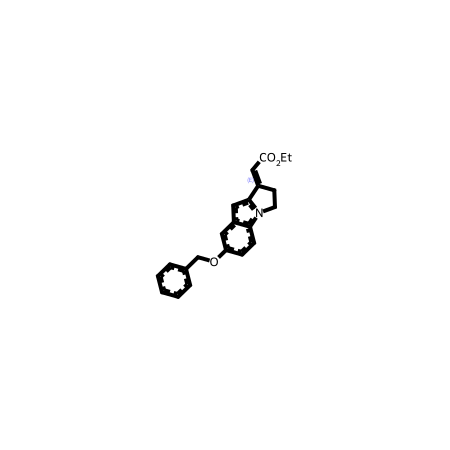 CCOC(=O)/C=C1\CCn2c1cc1cc(OCc3ccccc3)ccc12